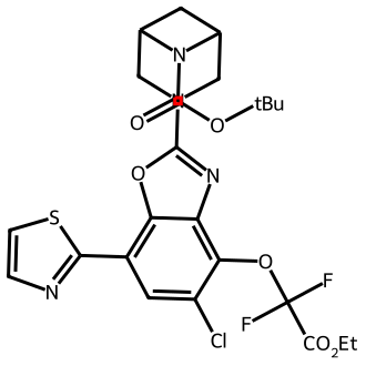 CCOC(=O)C(F)(F)Oc1c(Cl)cc(-c2nccs2)c2oc(N3CC4CC(C3)N4C(=O)OC(C)(C)C)nc12